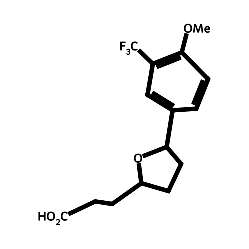 COc1ccc(C2CCC(CCC(=O)O)O2)cc1C(F)(F)F